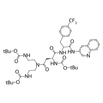 CC(C)(C)OC(=O)NCCN(CCNC(=O)OC(C)(C)C)C(=O)C[C@H](NC(=O)OC(C)(C)C)C(=O)NC(Cc1ccc(C(F)(F)F)cc1)C(=O)Nc1cnc2ccccc2c1